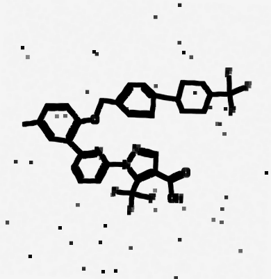 Cc1ccc(OCc2ccc(C3CCC(C(F)(F)F)CC3)cc2)c(-c2cccc(-n3ncc(C(=O)O)c3C(F)(F)F)n2)c1